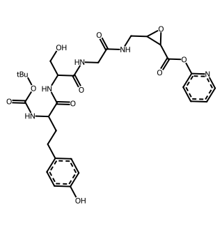 CC(C)(C)OC(=O)NC(CCc1ccc(O)cc1)C(=O)NC(CO)C(=O)NCC(=O)NCC1OC1C(=O)Oc1ccccn1